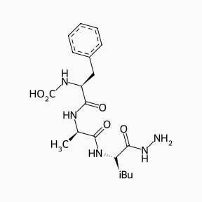 CC[C@H](C)[C@H](NC(=O)[C@@H](C)NC(=O)[C@H](Cc1ccccc1)NC(=O)O)C(=O)NN